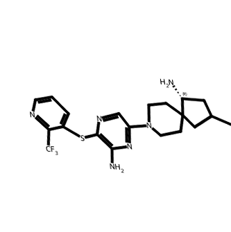 CC1C[C@@H](N)C2(CCN(c3cnc(Sc4cccnc4C(F)(F)F)c(N)n3)CC2)C1